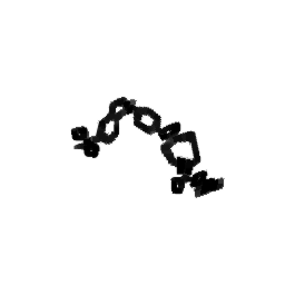 CC(C)(C)OC(=O)N1CCC(Oc2ccc(-n3ccc4cc(S(C)(=O)=O)ccc43)cc2)CC1